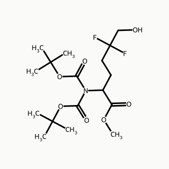 COC(=O)C(CCC(F)(F)CO)N(C(=O)OC(C)(C)C)C(=O)OC(C)(C)C